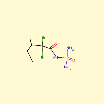 CCC(C)C(Br)(Br)C(=O)NP(N)(N)=O